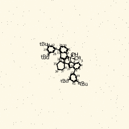 CC(C)(C)c1cc(-c2cccc3c2C=C2[CH]3[Hf]([CH3])([CH3])[CH]3C(=Cc4c(-c5cc(C(C)(C)C)cc(C(C)(C)C)c5)cccc43)C23CCCCC3)cc(C(C)(C)C)c1